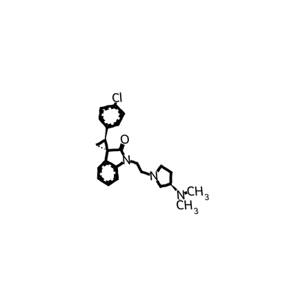 CN(C)[C@@H]1CCN(CCN2C(=O)[C@@]3(C[C@H]3c3ccc(Cl)cc3)c3ccccc32)C1